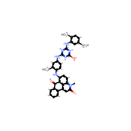 Cn1c(=O)cc2c3c(c(Nc4ccc(Nc5nc(O)nc(Nc6cc(S(=O)(=O)O)ccc6S(=O)(=O)O)n5)cc4S(=O)(=O)O)ccc31)C(=O)c1ccccc1-2